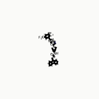 O=C(NC1C2CN(C(=O)/C=C\n3cnc(-c4cc(C(F)(F)F)cc(C(F)(F)F)c4)n3)CC21)OCC1c2ccccc2-c2ccccc21